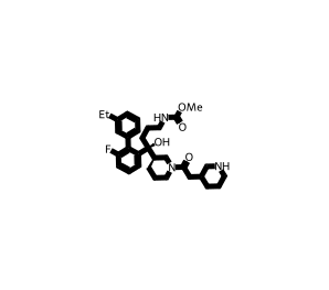 CCc1cccc(-c2c(F)cccc2[C@](O)(CCCNC(=O)OC)[C@@H]2CCCN(C(=O)CC3CCCNC3)C2)c1